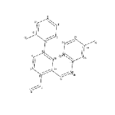 C=Cc1ccc(-c2ccccc2C)cc1/C=N\c1cc(C)ccn1